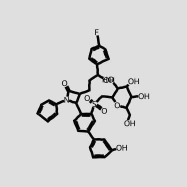 O=C1C(CCC(O)c2ccc(F)cc2)C(c2ccc(-c3cccc(O)c3)cc2S(=O)(=O)CC2OC(CO)C(O)C(O)C2O)N1c1ccccc1